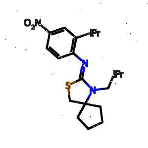 CC(C)CN1C(=Nc2ccc([N+](=O)[O-])cc2C(C)C)SCC12CCCC2